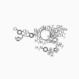 CC[C@H]1OC(=O)[C@H](C)[C@@H](O[C@H]2C[C@@](C)(OC)[C@@H](O)[C@H](C)O2)C(C)[C@@H](O[C@@H]2O[C@H](C)C[C@H](N(C)C)[C@H]2O)[C@](C)(OC)C[C@@H](C)C(=O)[C@H](C)[C@@H](O)[C@]1(C)O.Cc1cc(NS(=O)(=O)c2ccc(N)cc2)no1.Clc1ccc(COC(Cn2ccnc2)c2ccc(Cl)cc2Cl)c(Cl)c1